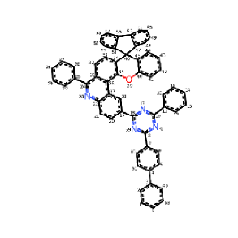 c1ccc(-c2ccc(-c3nc(-c4ccccc4)nc(-c4ccc5nc(-c6ccccc6)c6ccc7c(c6c5c4)Oc4ccccc4C74c5ccccc5-c5ccccc54)n3)cc2)cc1